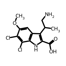 COc1cc2c(C(C)CN)c(C(=O)O)[nH]c2c(Cl)c1Cl